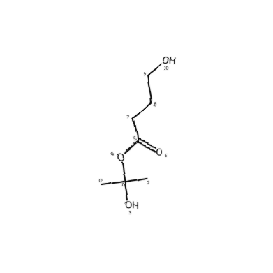 CC(C)(O)OC(=O)CCCO